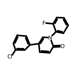 O=c1ccc(-c2cccc(Cl)c2)cn1-c1ccccc1F